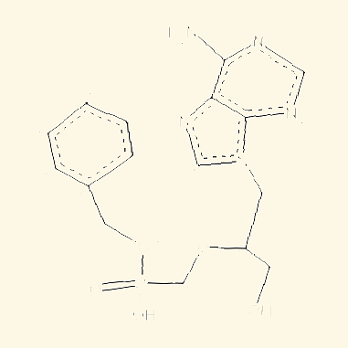 Nc1ncnc2c1ncn2CC(CO)OC[P@](=O)(O)OCc1ccccc1